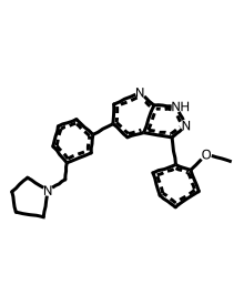 COc1ccccc1-c1n[nH]c2ncc(-c3cccc(CN4CCCC4)c3)cc12